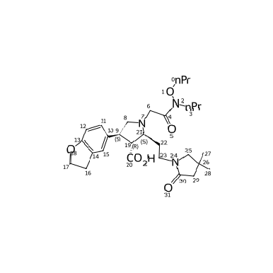 CCCON(CCC)C(=O)CN1C[C@H](c2ccc3c(c2)CCO3)[C@@H](C(=O)O)[C@@H]1CCN1CC(C)(C)CC1=O